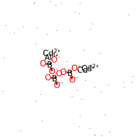 [Al+3].[Cd+2].[Cd+2].[Cd+2].[O-]B([O-])[O-].[O-]B([O-])[O-].[O-]B([O-])[O-]